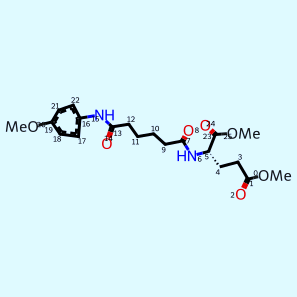 COC(=O)CC[C@H](NC(=O)CCCCC(=O)Nc1ccc(OC)cc1)C(=O)OC